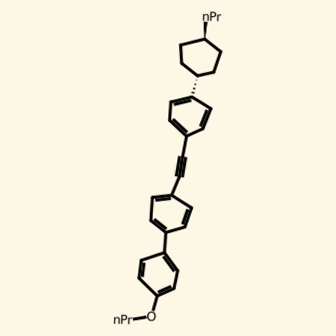 CCCOc1ccc(-c2ccc(C#Cc3ccc([C@H]4CC[C@H](CCC)CC4)cc3)cc2)cc1